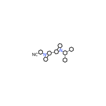 N#Cc1cccc(-n2c3ccccc3c3cc(-c4ccc5c(c4)c4ccccc4n5-c4cc(-c5ccccc5)cc(-c5ccccc5)c4)ccc32)c1